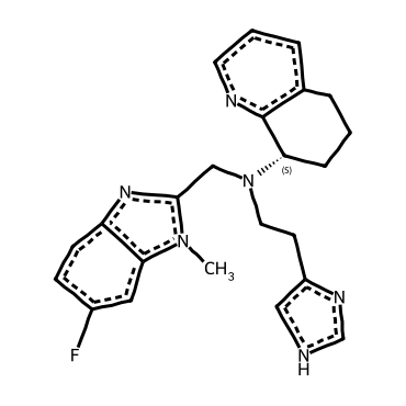 Cn1c(CN(CCc2c[nH]cn2)[C@H]2CCCc3cccnc32)nc2ccc(F)cc21